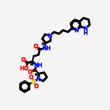 O=C(CC[C@@H](NC(=O)[C@H]1CCCN1S(=O)(=O)c1ccccc1)C(=O)O)N[C@H]1CCN(CCCCc2ccc3c(n2)NCCC3)C1